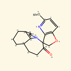 COc1ccc2c(n1)C1(CO2)C(=O)CCC2CCCc3ccn1c32